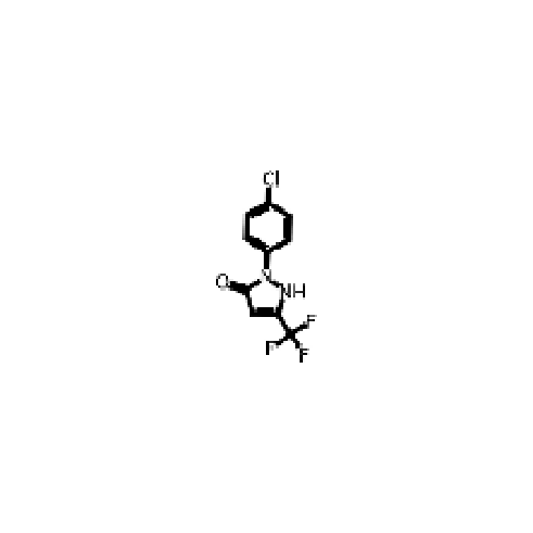 O=c1cc(C(F)(F)F)[nH]n1-c1ccc(Cl)cc1